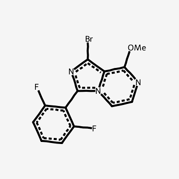 COc1nccn2c(-c3c(F)cccc3F)nc(Br)c12